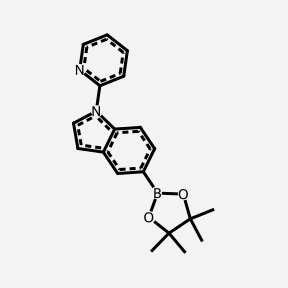 CC1(C)OB(c2ccc3c(ccn3-c3ccccn3)c2)OC1(C)C